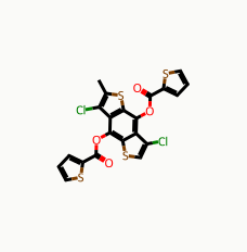 Cc1sc2c(OC(=O)c3cccs3)c3c(Cl)csc3c(OC(=O)c3cccs3)c2c1Cl